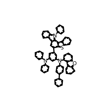 c1ccc(-c2ccc(N(c3cc(-c4cc5c6ccccc6n(-c6ccccc6)c5c5c4sc4ccccc45)cc(N(c4ccccc4)c4ccccc4)c3)c3cccc4oc5ccccc5c34)cc2)cc1